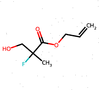 C=CCOC(=O)C(C)(F)CO